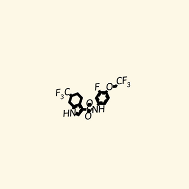 O=S(=O)(Nc1ccc(OCC(F)(F)F)c(F)c1)c1c[nH]c2c1CCC(C(F)(F)F)C2